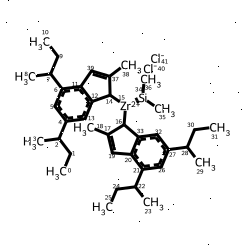 CCC(C)c1cc(C(C)CC)c2c(c1)[CH]([Zr+2]([CH]1C(C)=Cc3c(C(C)CC)cc(C(C)CC)cc31)=[Si](C)C)C(C)=C2.[Cl-].[Cl-]